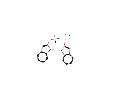 CC(C)(C)[Si](C)(C)OC1=Cc2ccccc2[C@@H]1[Hf+2][C@H]1C(O[Si](C)(C)C(C)(C)C)=Cc2ccccc21.[Cl-].[Cl-]